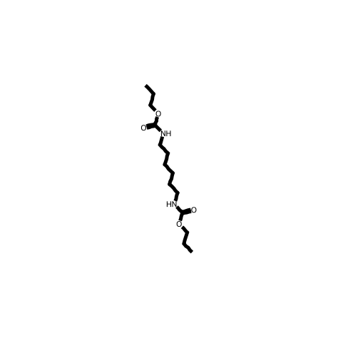 CCCOC(=O)NCCCCCCNC(=O)OCCC